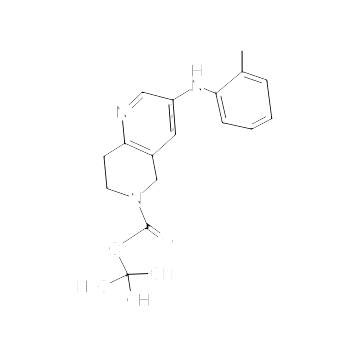 CC(C)(C)OC(=O)N1CCc2ncc(Nc3ccccc3F)cc2C1